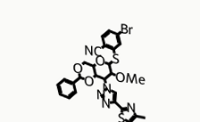 COC1C(Sc2cc(Br)ccc2C#N)OC2COC(c3ccccc3)OC2C1n1cc(-c2nc(C)cs2)nn1